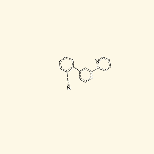 N#Cc1ccccc1-c1cccc(-c2ccccn2)c1